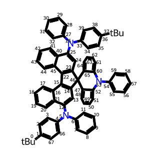 CC(C)(C)c1ccc(N(c2ccccc2)c2cc3c(c4ccccc24)-c2c(cc(N(c4ccccc4)c4ccc(C(C)(C)C)cc4)c4ccccc24)C32c3ccccc3N(c3ccccc3)c3ccccc32)cc1